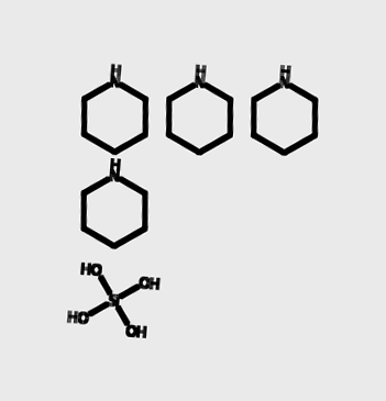 C1CCNCC1.C1CCNCC1.C1CCNCC1.C1CCNCC1.O[Si](O)(O)O